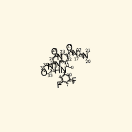 CC(Nc1cc(F)cc(F)c1)c1cc(C(=O)N2CC(N(C)C)C2)cn2c(=O)cc(N3CCOCC3)nc12